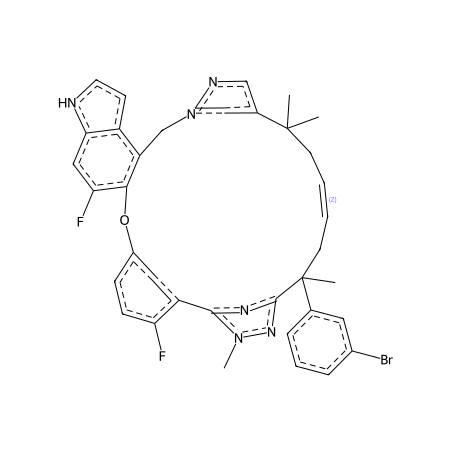 Cn1nc2nc1-c1cc(ccc1F)Oc1c(F)cc3[nH]ccc3c1Cn1cc(cn1)C(C)(C)C/C=C\CC2(C)c1cccc(Br)c1